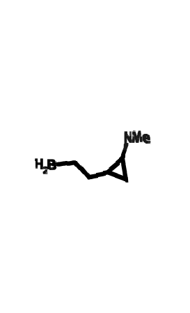 BCCC1CC1NC